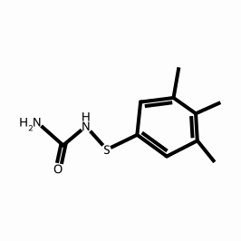 Cc1cc(SNC(N)=O)cc(C)c1C